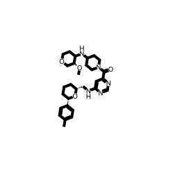 CO[C@@H]1COCCC1NC1CCN(C(=O)c2cc(NC[C@H]3CCC[C@@H](c4ccc(C)cc4)O3)ncn2)CC1